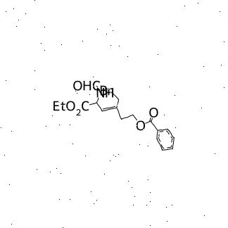 CCOC(=O)C(C=C(CBr)CCOC(=O)c1ccccc1)NC=O